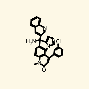 Cn1cncc1C(N)(c1cnc2ccccc2c1)c1ccc2c(c1)c(-c1cccc(Cl)c1)cc(=O)n2C